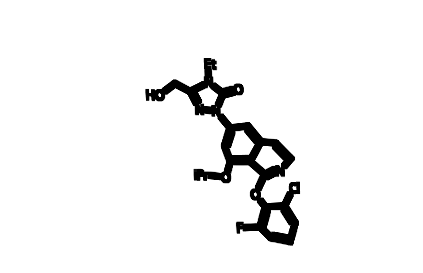 CCn1c(CO)nn(-c2cc(OC(C)C)c3c(Oc4c(F)cccc4Cl)nccc3c2)c1=O